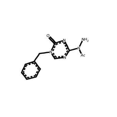 CC(=O)N(N)c1ncn(Cc2ccccc2)c(=O)n1